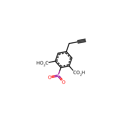 C#CCc1cc(C(=O)O)c(I(=O)=O)c(C(=O)O)c1